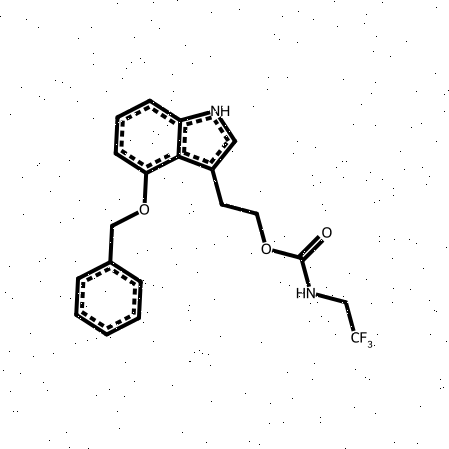 O=C(NCC(F)(F)F)OCCc1c[nH]c2cccc(OCc3ccccc3)c12